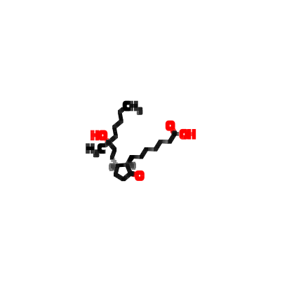 CCCCCC(C)(O)CC[C@H]1CCC(=O)[C@@H]1CCCCCCC(=O)O